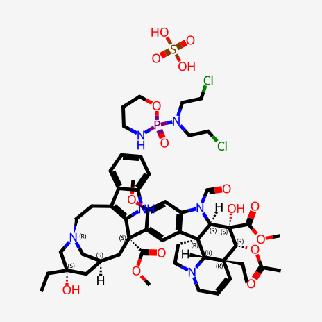 CC[C@]1(O)C[C@H]2C[N@](CCc3c([nH]c4ccccc34)[C@@](C(=O)OC)(c3cc4c(cc3OC)N(C=O)[C@H]3[C@@](O)(C(=O)OC)[C@H](OC(C)=O)[C@]5(CC)C=CCN6CC[C@]43[C@@H]65)C2)C1.O=P1(N(CCCl)CCCl)NCCCO1.O=S(=O)(O)O